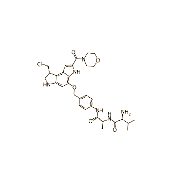 CC(C)[C@H](N)C(=O)N[C@@H](C)C(=O)Nc1ccc(COc2cc3c(c4cc(C(=O)N5CCOCC5)[nH]c24)[C@H](CCl)CN3)cc1